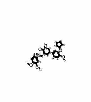 COc1ccc(NC[C@@H]2C[C@@H](c3ccc(OC)c(OC4CCCC4)c3)CNC2=O)cc1OC